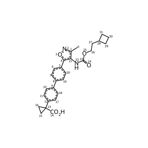 Cc1noc(-c2ccc(-c3ccc(C4(C(=O)O)CC4)cc3)cc2)c1NC(=O)OCCC1CCC1